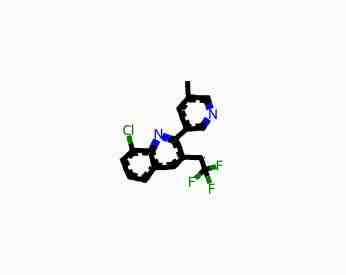 Cc1cncc(-c2nc3c(Cl)cccc3cc2[CH]C(F)(F)F)c1